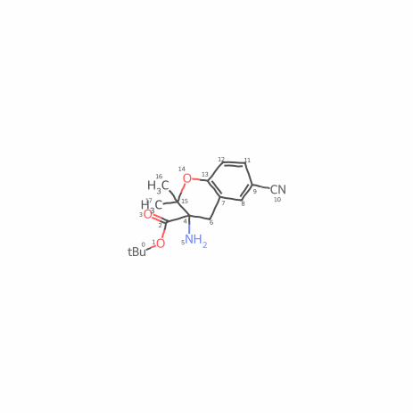 CC(C)(C)OC(=O)C1(N)Cc2cc(C#N)ccc2OC1(C)C